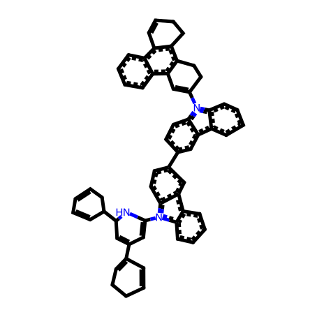 C1=CCC(C2C=C(C3=CCCC=C3)C=C(n3c4ccccc4c4cc(-c5ccc6c(c5)c5ccccc5n6C5=Cc6c(c7c(c8ccccc68)C=CCC7)CC5)ccc43)N2)C=C1